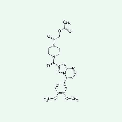 COc1ccc(-c2ccnc3cc(C(=O)N4CCN(C(=O)COC(C)=O)CC4)nn23)cc1OC